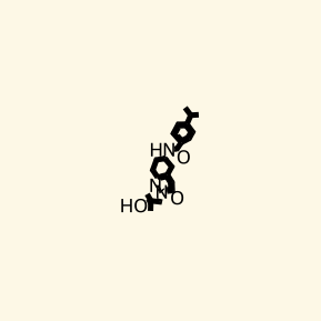 CC(C)c1ccc(C(=O)NC2CCc3nn(CC(C)(C)O)c(=O)cc3C2)cc1